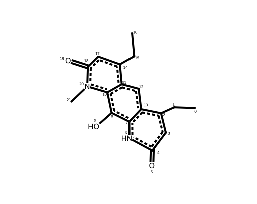 CCc1cc(=O)[nH]c2c(O)c3c(cc12)c(CC)cc(=O)n3C